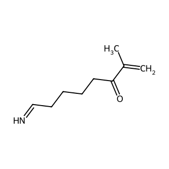 C=C(C)C(=O)CCCCC=N